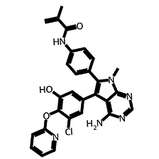 C=C(C)C(=O)Nc1ccc(-c2c(-c3cc(O)c(Oc4ccccn4)c(Cl)c3)c3c(N)ncnc3n2C)cc1